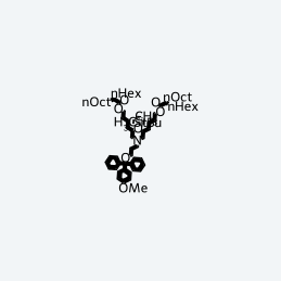 CCCCCCCCC(CCCCCC)C(=O)OCCCCCCN(CCCOC(c1ccccc1)(c1ccccc1)c1ccc(OC)cc1)CC(CCCCOC(=O)C(CCCCCC)CCCCCCCC)O[Si](C)(C)C(C)(C)C